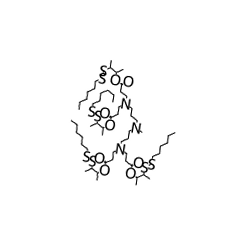 CCCCCCSSC(C)C(C)OC(=O)CCN(CCCN(C)CCCN(CCC(=O)OC(C)C(C)SSCCCCCC)CCC(=O)OC(C)C(C)SSCCCCCC)CCC(=O)OC(C)C(C)SSCCCCCC